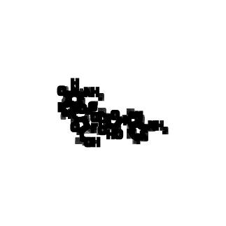 Nc1nc2c(ncn2[C@@H]2O[C@H](CO)[C@@H](F)[C@H]2P(=O)(O)OC[C@H]2O[C@@H](n3cnc4c(N)ncnc43)[C@H](O)[C@@H]2O)c(=O)[nH]1